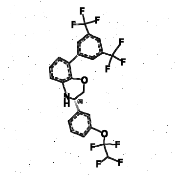 FC(F)C(F)(F)Oc1cccc([C@H]2COc3c(cccc3-c3cc(C(F)(F)F)cc(C(F)(F)F)c3)N2)c1